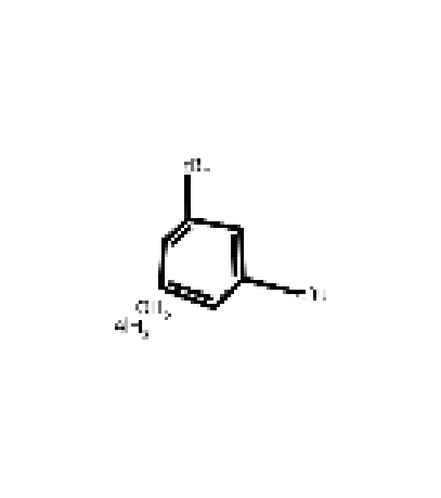 CC(C)(C)c1[c]ccc(C(C)(C)C)c1.O.[AlH3]